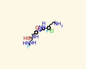 C[C@H](N)CCCc1cc(Cl)c(F)c(-c2cc3cn(-c4ccc([C@H](C)N[C@@H](CO)CCNC(=N)CF)cc4)c(=O)nc3[nH]2)c1